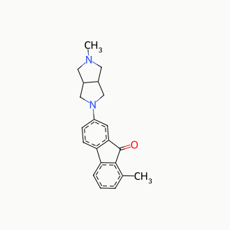 Cc1cccc2c1C(=O)c1cc(N3CC4CN(C)CC4C3)ccc1-2